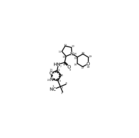 CC(C)(C#N)c1cc(NC(=O)C2CCCN2C2CCOCC2)on1